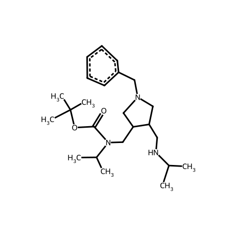 CC(C)NCC1CN(Cc2ccccc2)CC1CN(C(=O)OC(C)(C)C)C(C)C